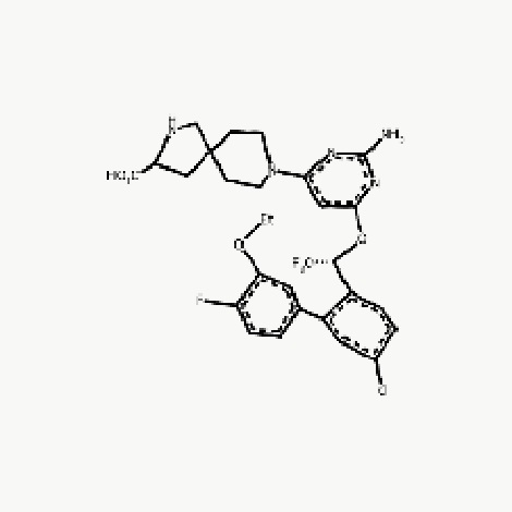 CCOc1cc(-c2cc(Cl)ccc2[C@@H](Oc2cc(N3CCC4(CC3)CNC(C(=O)O)C4)nc(N)n2)C(F)(F)F)ccc1F